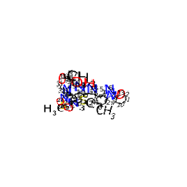 Cc1cc2c(cnn2C2CCCCO2)c(-c2ncnc3c2sc2nc(S(C)(=O)=O)nc(N4CCOC[C@@](C)(O)C4)c23)c1C(F)(F)F